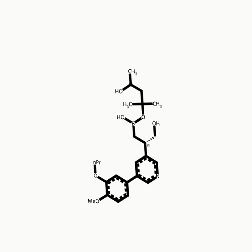 CCCOc1cc(-c2cncc([C@@H](CO)CB(O)OC(C)(C)CC(C)O)c2)ccc1OC